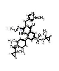 CO/N=c1\[nH]c2c(C3=C[C@@H](C)N(C(=O)C4(C)CC4)CC3)cc(S(=O)(=O)NC3(C)CC3)cc2c(=O)n1Cc1cnn(C)c1